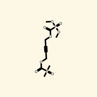 COP(=O)(OC)C(=O)OCC#CCOC(=O)P(C)(C)=O